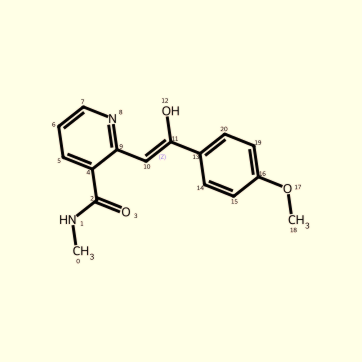 CNC(=O)c1cccnc1/C=C(\O)c1ccc(OC)cc1